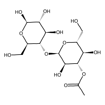 CC(=O)O[C@@H]1[C@@H](O)[C@@H](O[C@H]2[C@H](O)[C@@H](O)[C@H](O)O[C@@H]2CO)O[C@H](CO)[C@H]1O